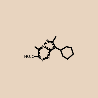 Cc1nn2c(C)c(C(=O)O)nnc2c1C1CCCCC1